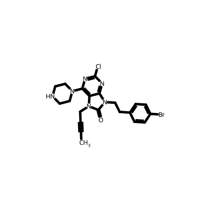 CC#CCn1c(=O)n(CCc2ccc(Br)cc2)c2nc(Cl)nc(N3CCNCC3)c21